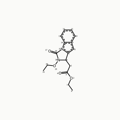 CCOC(=O)CC1c2cc3ccccc3n2C(=O)N1OCC